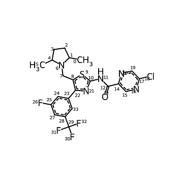 CC1CCC(C)N1Cc1sc(NC(=O)c2cnc(Cl)cn2)nc1-c1cc(F)cc(C(F)(F)F)c1